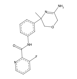 CC1(c2cccc(NC(=O)c3ncccc3F)c2)COCC(N)=N1